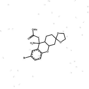 COC(=O)CC1(N)c2cc(Br)ccc2OC2CC3(CCC21)OCCO3